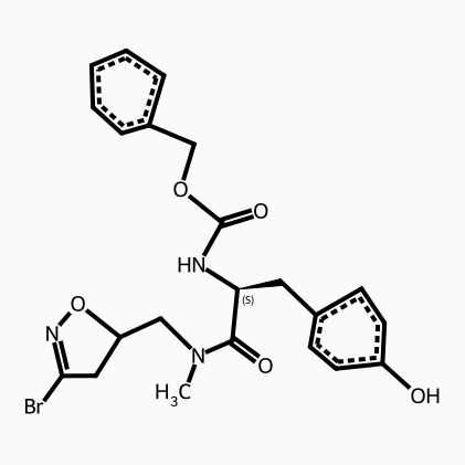 CN(CC1CC(Br)=NO1)C(=O)[C@H](Cc1ccc(O)cc1)NC(=O)OCc1ccccc1